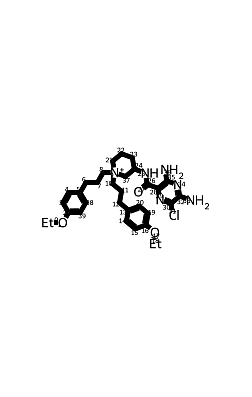 CCOc1ccc(CCC[N+]2(CCCc3ccc(OCC)cc3)CCCC(NC(=O)c3nc(Cl)c(N)nc3N)C2)cc1